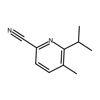 Cc1ccc(C#N)nc1C(C)C